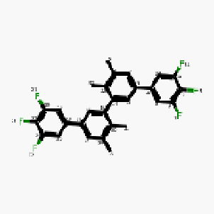 Cc1cc(-c2cc(F)c(F)c(F)c2)cc(-c2cc(-c3cc(F)c(F)c(F)c3)cc(C)c2C)c1C